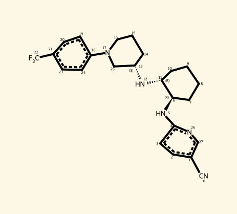 N#Cc1ccc(N[C@@H]2CCCC[C@H]2N[C@H]2CCCN(c3ccc(C(F)(F)F)cc3)C2)nc1